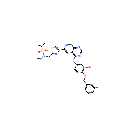 CCN(Cc1nc(-c2cc3c(Nc4ccc(OCc5cccc(F)c5)c(Br)c4)ncnc3cn2)cs1)S(=O)(=O)C(C)C